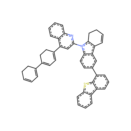 C1=CCCC(C2=CC=C(c3cc(-n4c5c(c6cc(-c7cccc8c7sc7ccccc78)ccc64)C=CCC5)nc4ccccc34)CC2)=C1